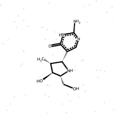 C[C@H]1[C@H](O)[C@@H](CO)N[C@H]1c1cnc(N)[nH]c1=O